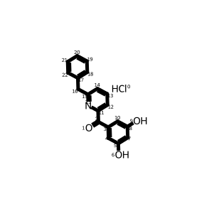 Cl.O=C(c1cc(O)cc(O)c1)c1cccc(Cc2ccccc2)n1